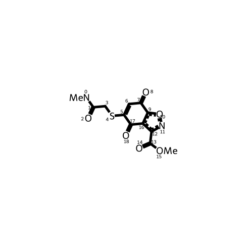 CNC(=O)CSC1=CC(=O)c2onc(C(=O)OC)c2C1=O